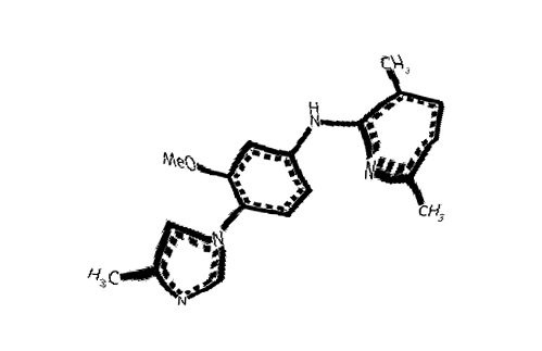 COc1cc(Nc2nc(C)ccc2C)ccc1-n1cnc(C)c1